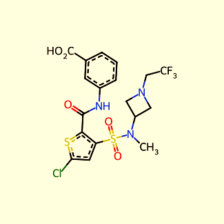 CN(C1CN(CC(F)(F)F)C1)S(=O)(=O)c1cc(Cl)sc1C(=O)Nc1cccc(C(=O)O)c1